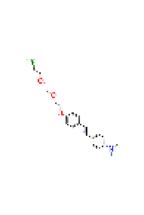 CN(C)c1ccc(/C=C/c2ccc(OCCOCCOCC[18F])cc2)cc1